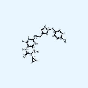 Cc1nc(NCc2cnn(Cc3ccc(Cl)nc3)c2)nc2c1NC(=O)[C@H](C1CC1)N2C